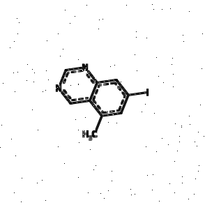 Cc1cc(I)cc2ncncc12